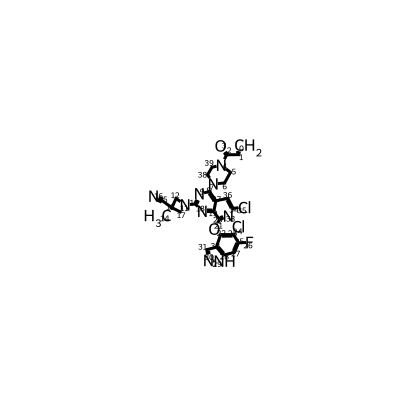 C=CC(=O)N1CCN(c2nc(N3CC(C)(C#N)C3)nc3c(Oc4c(Cl)c(F)cc5[nH]ncc45)nc(Cl)cc23)CC1